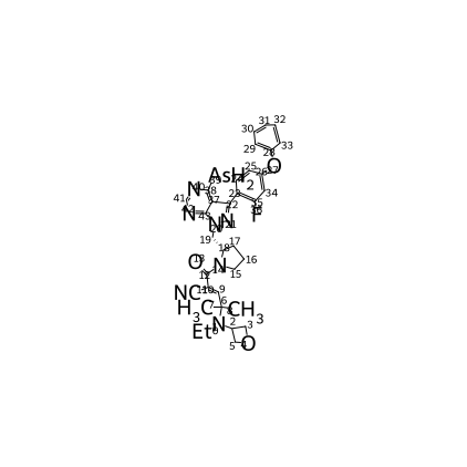 CCN(C1COC1)C(C)(C)C=C(C#N)C(=O)N1CCC[C@H]1Cn1nc(-c2ccc(Oc3ccccc3)cc2F)c2c([AsH2])ncnc21